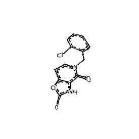 O=c1[nH]c2c(=O)n(Cc3ccccc3Cl)ccc2o1